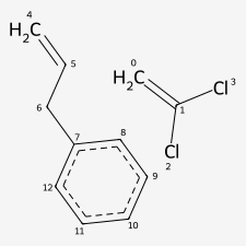 C=C(Cl)Cl.C=CCc1ccccc1